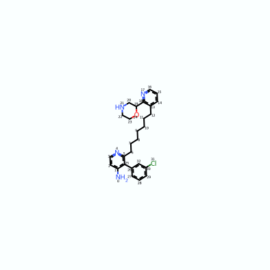 Nc1ccnc(CCCCCCCc2cccnc2C2CNCCO2)c1-c1cccc(Cl)c1